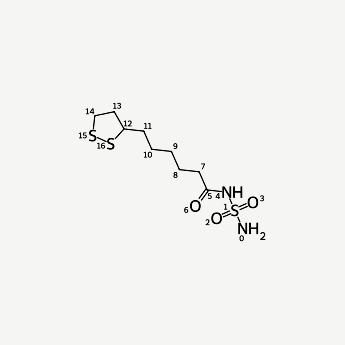 NS(=O)(=O)NC(=O)CCCCCC1CCSS1